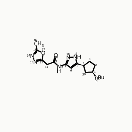 CCCC[C@@H]1CC[C@H](c2cc(NC(=O)Cc3nnc(C)o3)n[nH]2)C1